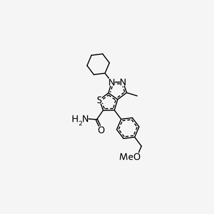 COCc1ccc(-c2c(C(N)=O)sc3c2c(C)nn3C2CCCCC2)cc1